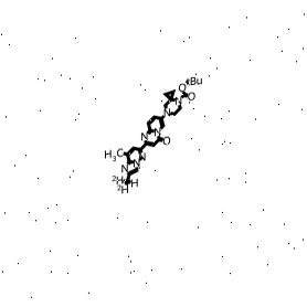 [2H]C([2H])([2H])c1cn2nc(-c3cc(=O)n4cc(N5CCN(C(=O)OC(C)(C)C)C6(CC6)C5)ccc4n3)cc(C)c2n1